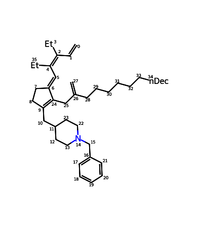 C=C/C(CC)=C(\C=C1/CCC(CC2CCN(Cc3ccccc3)CC2)=C1CC(=C)CCCCCCCCCCCCCCCC)CC